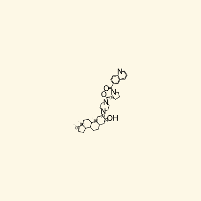 C[C@H]1CCC2C3CCC4C[C@H](O)[C@@H](N5CCN(C(=O)[C@@H]6CCCN6C(=O)c6ccc7ncccc7c6)CC5)C[C@]4(C)C3CC[C@@]21C